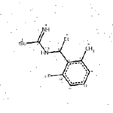 CCC(NC(=N)C(C)(C)C)c1c(C)cccc1F